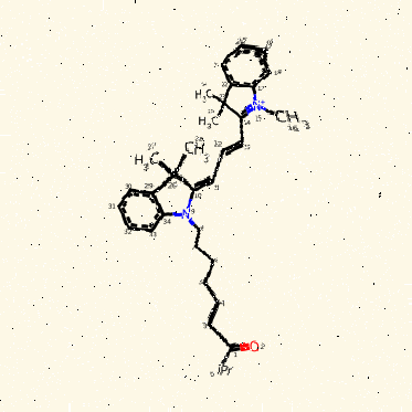 CC(C)C(=O)CCCCCCN1/C(=C/C=C/C2=[N+](C)c3ccccc3C2(C)C)C(C)(C)c2ccccc21